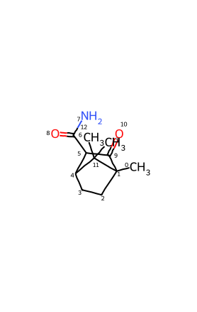 CC12CCC(C(C(N)=O)C1=O)C2(C)C